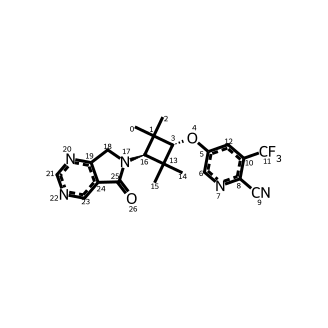 CC1(C)[C@H](Oc2cnc(C#N)c(C(F)(F)F)c2)C(C)(C)[C@H]1N1Cc2ncncc2C1=O